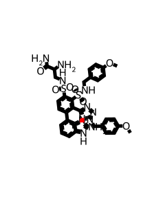 COc1ccc(CNS(=O)(=O)c2c(S(=O)(=O)NCC(N)C(N)=O)ccc(-c3cccc4[nH]c(N)nc34)c2-c2nnn(Cc3ccc(OC)cc3)n2)cc1